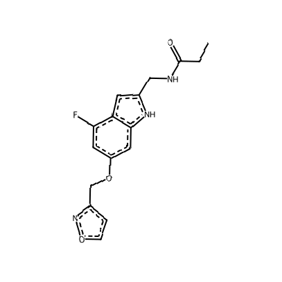 CCC(=O)NCc1cc2c(F)cc(OCc3ccon3)cc2[nH]1